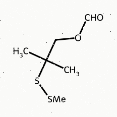 CSSC(C)(C)COC=O